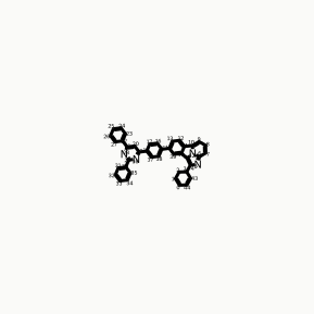 C1=CCC(c2nc3cccc4c5ccc(-c6ccc(-c7cc(-c8ccccc8)nc(-c8ccccc8)n7)cc6)cc5c2n34)C=C1